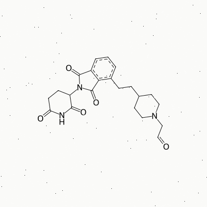 O=CCN1CCC(CCc2cccc3c2C(=O)N(C2CCC(=O)NC2=O)C3=O)CC1